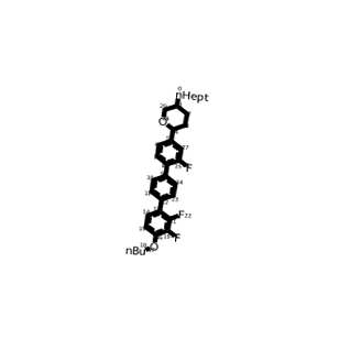 CCCCCCCC1CCC(c2ccc(-c3ccc(-c4ccc(OCCCC)c(F)c4F)cc3)c(F)c2)OC1